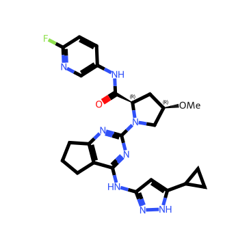 CO[C@@H]1C[C@H](C(=O)Nc2ccc(F)nc2)N(c2nc3c(c(Nc4cc(C5CC5)[nH]n4)n2)CCC3)C1